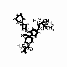 CC1(C(=O)N2CCC3(CC2)C(=O)N(C2CC(N4CCCCC4)C2)c2cc(B4OC(C)(C)C(C)(C)O4)ccc23)CC1